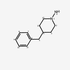 [NH]N1CCC(Cc2ccccc2)CC1